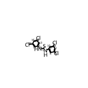 S=C(Nc1cc(Cl)cc(Cl)c1)Nc1cc(Cl)cc(Cl)c1